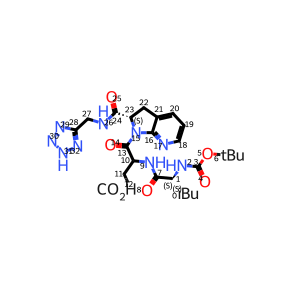 CC[C@H](C)[C@H](NC(=O)OC(C)(C)C)C(=O)NC(CC(=O)O)C(=O)N1c2ncccc2C[C@H]1C(=O)NCc1nn[nH]n1